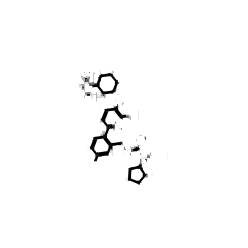 Cc1nc(-c2ccc(Cl)cc2CNC(=O)N(C)C2CCCC2)ccc1OC1CCCC(P(=O)(O)O)C1